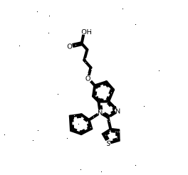 O=C(O)CCCOc1ccc2nc(-c3ccsc3)n(-c3ccccc3)c2c1